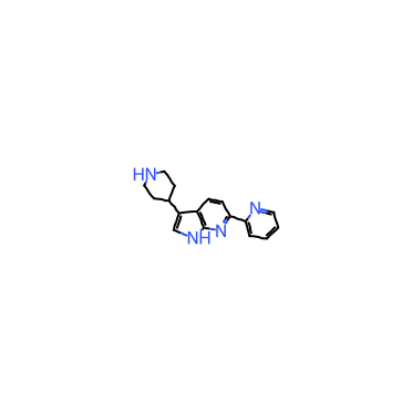 c1ccc(-c2ccc3c(C4CCNCC4)c[nH]c3n2)nc1